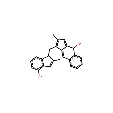 CC1=Cc2c(Br)cccc2C1CC1=C(C)C=C2C1=Cc1ccccc1C2Br